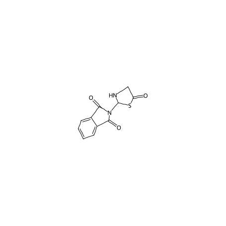 O=C1CNC(N2C(=O)c3ccccc3C2=O)S1